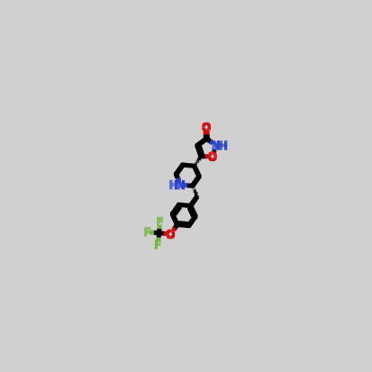 O=c1cc([C@H]2CCN[C@@H](Cc3ccc(OC(F)(F)F)cc3)C2)o[nH]1